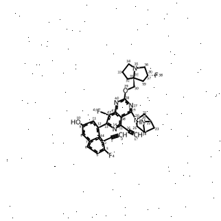 C#Cc1c(F)ccc2cc(O)cc(-c3nc(C#C)c4c(N5CC6CC(C5)N6)nc(OC[C@@]56CCCN5C[C@H](F)C6)nc4c3F)c12